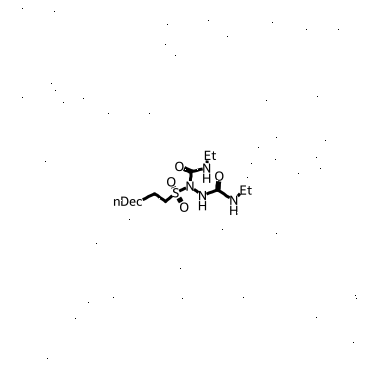 CCCCCCCCCCCCS(=O)(=O)N(NC(=O)NCC)C(=O)NCC